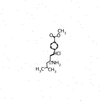 COC(=O)c1ccc(C=C[C@@H](N)CC(C)C)cc1.Cl